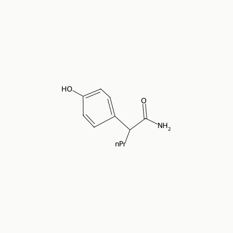 CCCC(C(N)=O)c1ccc(O)cc1